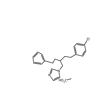 CC(=O)O.Clc1ccc(CCC(CCc2ccccc2)Cn2ccnc2)cc1